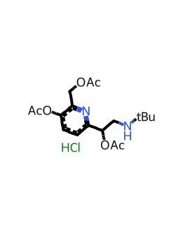 CC(=O)OCc1nc(C(CNC(C)(C)C)OC(C)=O)ccc1OC(C)=O.Cl